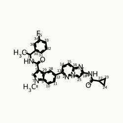 CC(NC(=O)c1cn(C)c2ccc(-c3ccc4nc(NC(=O)C5CC5)cn4n3)cc12)c1cccc(F)c1